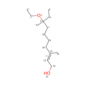 CCOC(C)(CC)CCCC/C(C)=C/CO